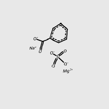 O=C([O-])c1ccccc1.O=S(=O)([O-])[O-].[Mg+2].[Na+]